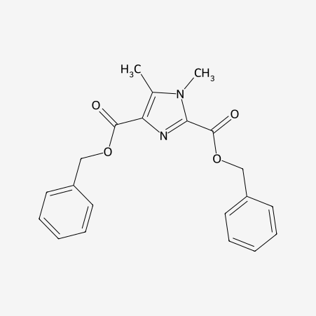 Cc1c(C(=O)OCc2ccccc2)nc(C(=O)OCc2ccccc2)n1C